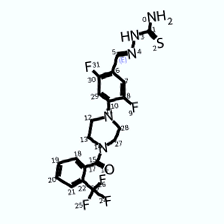 NC(=S)N/N=C/c1cc(F)c(N2CCN(C(=O)c3ccccc3C(F)(F)F)CC2)cc1F